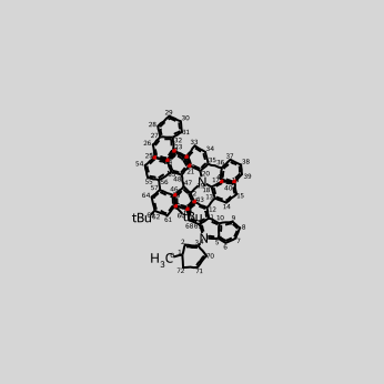 CC1C=C(n2c3ccccc3c3c(-c4ccccc4N(c4cc(-c5cccc6ccccc56)ccc4-c4ccccc4)c4ccccc4-c4cccc5cccc(-c6cc(C(C)(C)C)cc(C(C)(C)C)c6)c45)cccc32)C=CC1